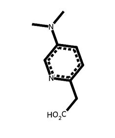 CN(C)c1ccc(CC(=O)O)nc1